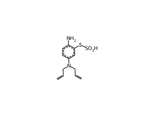 C=CCN(CC=C)c1ccc(N)c(SS(=O)(=O)O)c1